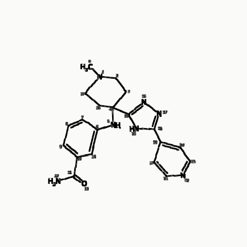 CN1CCC(Nc2cccc(C(N)=O)c2)(c2nnc(-c3ccncc3)[nH]2)CC1